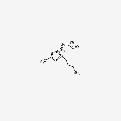 Cc1cn(CCCN)[n+](C)c1.Cl.O=CO